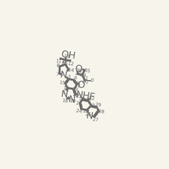 C[C@@H](Oc1cc(N2CC[C@@H](C(C)(C)O)C2)cc2ncnc(Nc3ccc4ncccc4c3F)c12)C1COC1